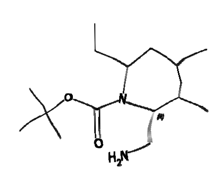 CCC1CC(C)C(C)[C@H](CN)N1C(=O)OC(C)(C)C